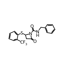 O=C1CC(Sc2ccccc2C(F)(F)F)N1C(=O)NCc1ccccc1